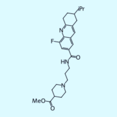 COC(=O)C1CCN(CCCNC(=O)c2cc(F)c3nc4c(cc3c2)CC(C(C)C)CC4)CC1